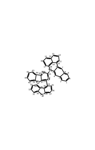 c1ccc2cc3c(cc2c1)-c1cccc2cccc(c12)N3c1nc(-c2cccc3sc4ccccc4c23)c2oc3ccccc3c2n1